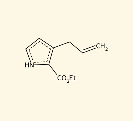 C=CCc1cc[nH]c1C(=O)OCC